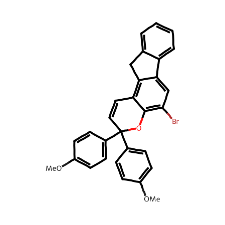 COc1ccc(C2(c3ccc(OC)cc3)C=Cc3c4c(cc(Br)c3O2)-c2ccccc2C4)cc1